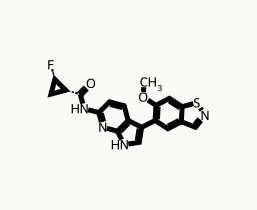 COc1cc2sncc2cc1-c1c[nH]c2nc(NC(=O)[C@@H]3C[C@@H]3F)ccc12